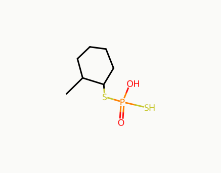 CC1CCCCC1SP(=O)(O)S